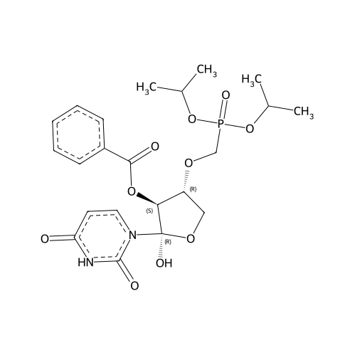 CC(C)OP(=O)(CO[C@@H]1CO[C@@](O)(n2ccc(=O)[nH]c2=O)[C@H]1OC(=O)c1ccccc1)OC(C)C